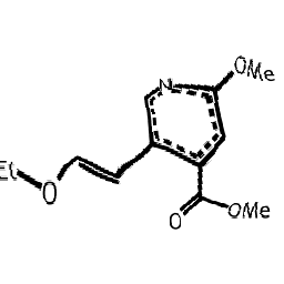 CCO/C=C/c1cnc(OC)cc1C(=O)OC